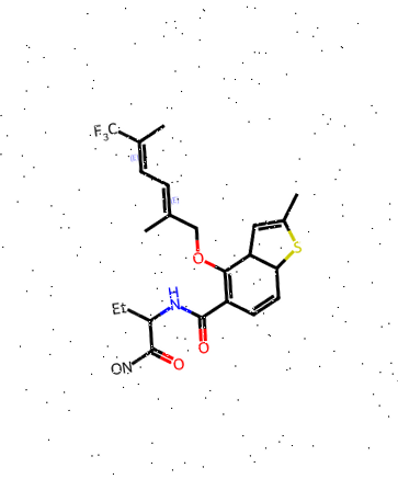 CCC(NC(=O)C1=C(OC/C(C)=C/C=C(\C)C(F)(F)F)C2C=C(C)SC2C=C1)C(=O)N=O